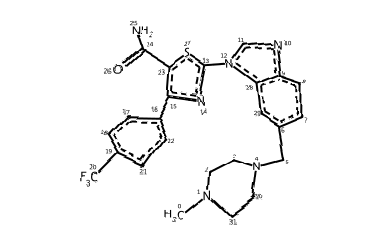 CN1CCN(Cc2ccc3ncn(-c4nc(-c5ccc(C(F)(F)F)cc5)c(C(N)=O)s4)c3c2)CC1